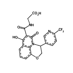 O=C(O)CNC(=O)c1c(O)c2cccc3c2n(c1=O)C(c1ccc(C(F)(F)F)nc1)CO3